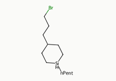 CCCCC[SiH]1CCC(CCCBr)CC1